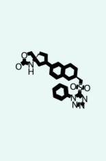 O=C1N[C@@]2(CCC(c3ccc4c(c3)CC[C@@H](CS(=O)(=O)c3nnnn3-c3ccccc3)C4)C2)CO1